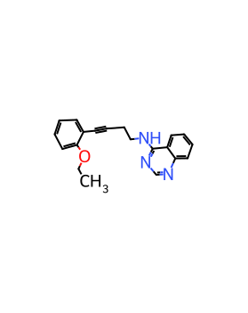 CCOc1ccccc1C#CCCNc1ncnc2ccccc12